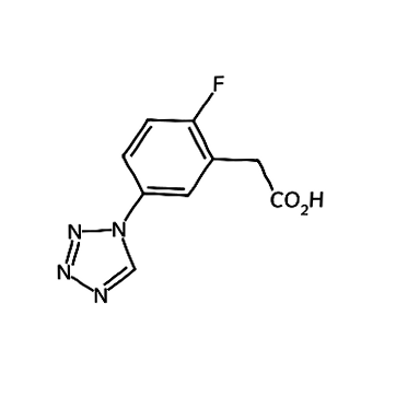 O=C(O)Cc1cc(-n2cnnn2)ccc1F